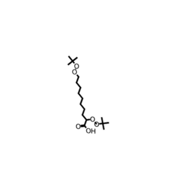 CC(C)(C)OOCCCCCCCCC(OOC(C)(C)C)C(=O)O